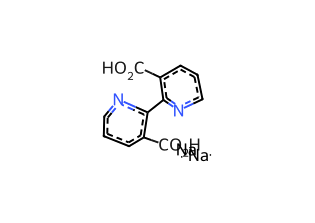 O=C(O)c1cccnc1-c1ncccc1C(=O)O.[Na].[Na]